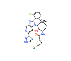 COc1cccc(F)c1-c1nc2cnc(-c3nc[nH]n3)cc2n1[C@H]1CCCC[C@@H](NC(=O)c2ccc(Cl)s2)[C@@H]1O